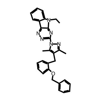 CCn1c2ccccc2c2nnc(-n3nc(C)c(Cc4ccccc4OCc4ccccc4)c3C)nc21